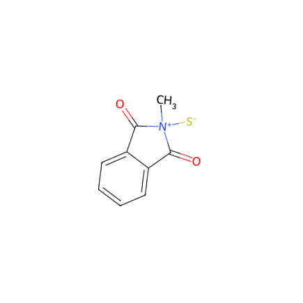 C[N+]1([S-])C(=O)c2ccccc2C1=O